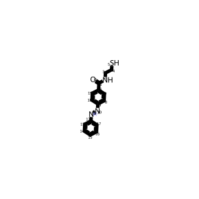 O=C(NCCS)c1ccc(/N=N/c2ccccc2)cc1